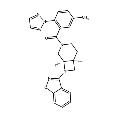 Cc1ccc(-n2nccn2)c(C(=O)N2CC[C@H]3CN(c4noc5ccccc45)[C@H]3C2)c1